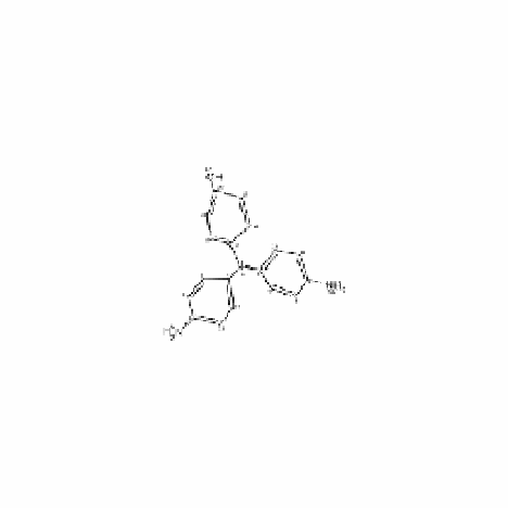 Nc1ccc(N(c2ccc(N)cc2)c2ccc(O)cc2)cc1